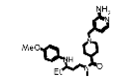 CCC(CCN(C)C(=O)C1CCN(Cc2ccnc(N)c2)CC1)Nc1ccc(OC)cc1